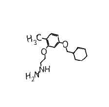 Cc1ccc(OCC2CCCCC2)cc1OCCNN